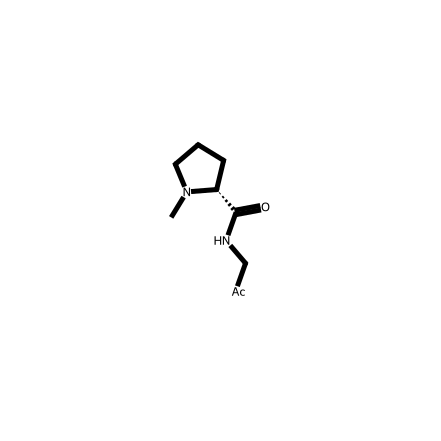 CC(=O)CNC(=O)[C@H]1CCCN1C